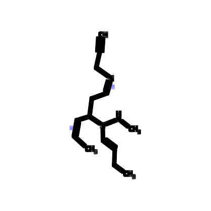 C#CC/N=C\CC(/C=C\C)N(C=CCC)NC